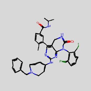 Cc1ccc(C(=O)NC(C)C)cc1-c1nc(NC2CCN(Cc3ccccc3)CC2)nc2c1CNC(=O)N2c1c(F)cccc1F